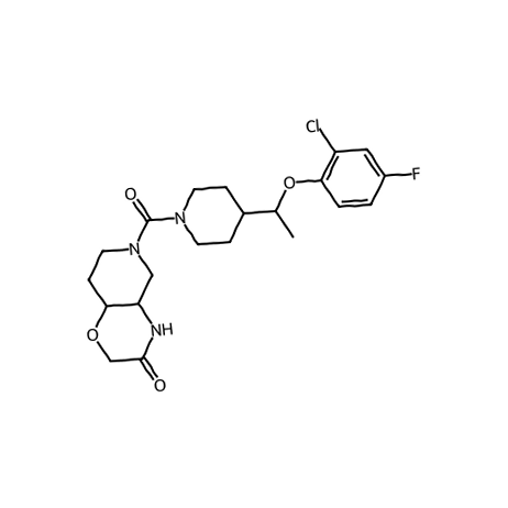 CC(Oc1ccc(F)cc1Cl)C1CCN(C(=O)N2CCC3OCC(=O)NC3C2)CC1